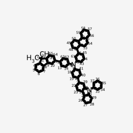 CC1(C)c2ccccc2-c2cc(-c3ccc(N(c4ccc(-c5ccc6c7ccccc7n(-c7ccccc7)c6c5)cc4)c4cccc(-c5cccc6c5ccc5ccccc56)c4)cc3)ccc21